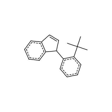 CC(C)(C)c1ccccc1[C]1C=Cc2ccccc21